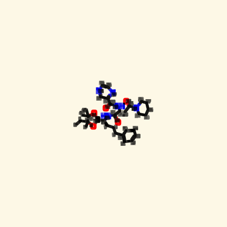 CCC1(C)OB([C@H](CCCc2ccccc2)NC(=O)[C@@H](CC(=O)N2CCCCC2)NC(=O)c2cnccn2)OC1(C)C